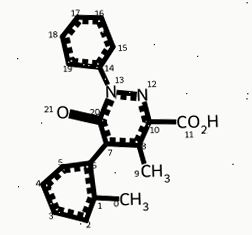 Cc1ccccc1-c1c(C)c(C(=O)O)nn(-c2ccccc2)c1=O